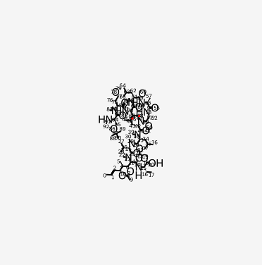 C/C=C/C[C@@H](C)[C@@H](OC(C)=O)[C@@H](C(=O)N[C@@H](CC)C(=O)O)N(C)C(=O)[C@H](C(C)C)N(C)C(=O)[C@H](CC(C)C)N(C)C(=O)[C@H](CC(C)C)N(C)C(=O)[C@@H](C)NC(=O)[C@H](C)NC(=O)[C@H](CC(C)C)N(C)C(=O)[C@@H](NC(=O)[C@H]([C@H](C)COC)N(C)C(=O)[C@@H](COC(C)(C)C)NC)C(C)C